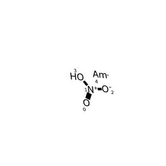 O=[N+]([O-])O.[Am]